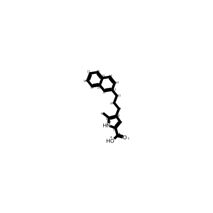 Cc1[nH]c(C(=O)O)cc1CCCc1ccc2ccccc2c1